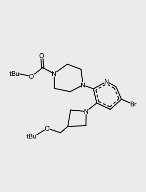 CC(C)(C)OCC1CN(c2cc(Br)cnc2N2CCN(C(=O)OC(C)(C)C)CC2)C1